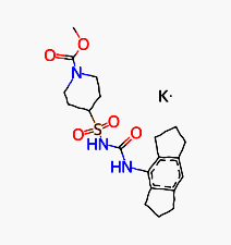 COC(=O)N1CCC(S(=O)(=O)NC(=O)Nc2c3c(cc4c2CCC4)CCC3)CC1.[K]